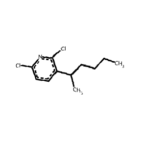 CCCCC(C)c1ccc(Cl)nc1Cl